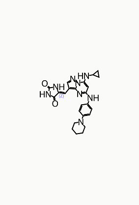 O=C1NC(=O)/C(=C/c2cnn3c(NC4CC4)cc(Nc4ccc(N5CCCCC5)cc4)nc23)N1